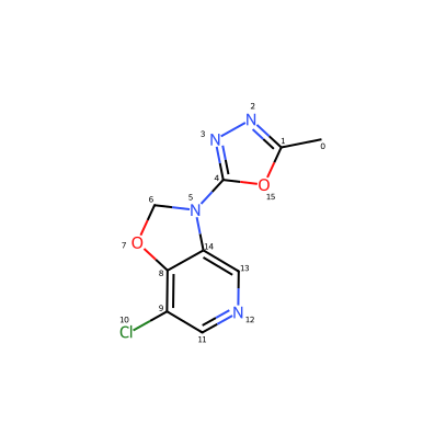 Cc1nnc(N2COc3c(Cl)cncc32)o1